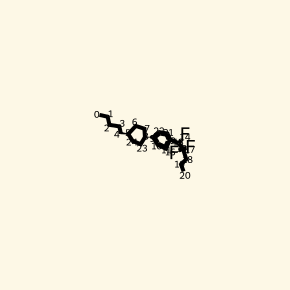 CCCCC[C@H]1CC[C@H](c2ccc(C(F)C(F)(F)CCC)cc2)CC1